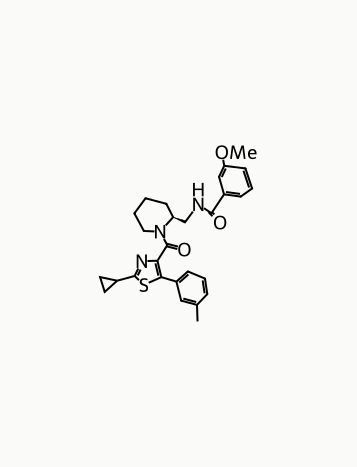 COc1cccc(C(=O)NC[C@@H]2CCCCN2C(=O)c2nc(C3CC3)sc2-c2cccc(C)c2)c1